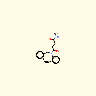 CCCCNC(=O)CCC(=O)N1Cc2ccccc2C#Cc2ccccc21